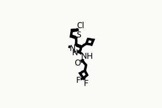 Cn1nc(NC(=O)CC2CC(F)(F)C2)c(C2CCC2)c1-c1ccc(Cl)s1